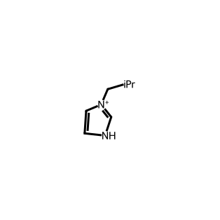 CC(C)C[n+]1cc[nH]c1